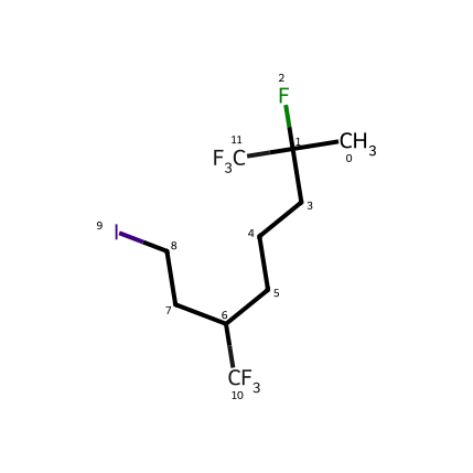 CC(F)(CCCC(CCI)C(F)(F)F)C(F)(F)F